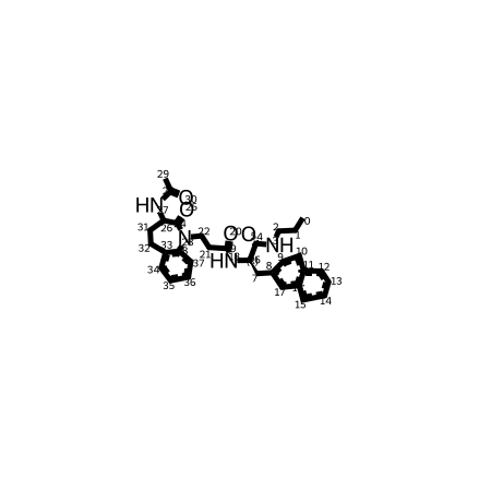 CCCNC(=O)[C@@H](Cc1ccc2ccccc2c1)NC(=O)CCN1C(=O)C(NC(C)=O)CCc2ccccc21